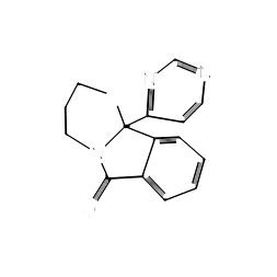 O=C1c2ccccc2C2(c3ccncn3)SCCCN12